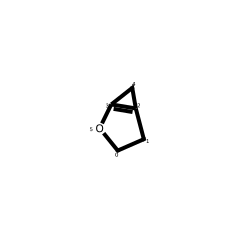 C1CC2=C(C2)O1